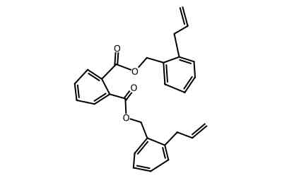 C=CCc1ccccc1COC(=O)c1ccccc1C(=O)OCc1ccccc1CC=C